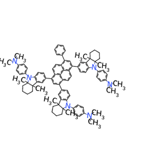 CN(C)c1ccc(N2c3ccc(-c4cc(-c5ccccc5)c5ccc6c(-c7ccc8c(c7)C7(C)CCCCC7(C)N8c7ccc(N(C)C)cc7)cc(-c7ccc8c(c7)C7(C)CCCCC7(C)N8c7ccc(N(C)C)cc7)c7ccc4c5c67)cc3C3(C)CCCCC23C)cc1